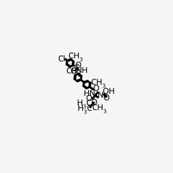 Cc1cc(S(=O)(=O)Nc2cccc(-c3ccc(C(=O)NC4(C(=O)OC(C)(C)C)CN(C(=O)O)C4)c(C)c3)c2)c(C)cc1Cl